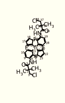 CC(C)(CCl)C(=O)Nc1ccc(F)[c]([Ti]([C]2=CC=CC2)([C]2=CC=CC2)[c]2c(F)ccc(NC(=O)C(C)(C)CCl)c2F)c1F